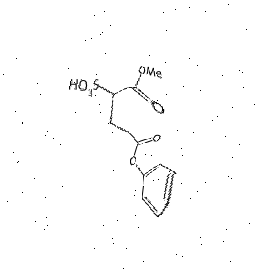 COC(=O)C(CC(=O)Oc1ccccc1)S(=O)(=O)O